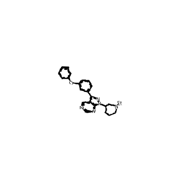 CCN1CCCC(n2nc(-c3cccc(Oc4ccccc4)c3)c3cncnc32)C1